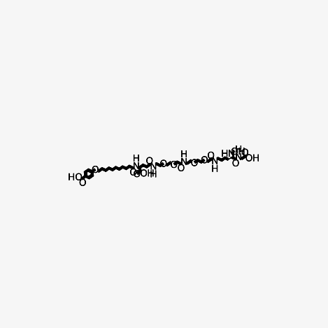 O=C(O)CNC(=O)[C@H](CCCCNC(=O)COCCOCCNC(=O)COCCOCCNC(=O)CCC(NC(=O)CCCCCCCCCCOc1ccc(C(=O)O)cc1)C(=O)O)NO